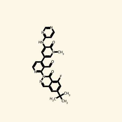 Cn1cc(-c2ccnc(-n3ncc4cc(C(C)(C)C)cc(F)c4c3=O)c2C=O)cc(Nc2ccncn2)c1=O